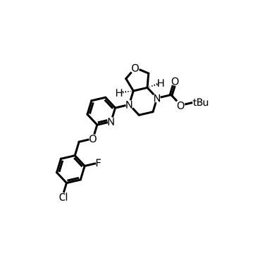 CC(C)(C)OC(=O)N1CCN(c2cccc(OCc3ccc(Cl)cc3F)n2)[C@H]2COC[C@H]21